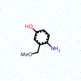 COCc1cc(O)ccc1N